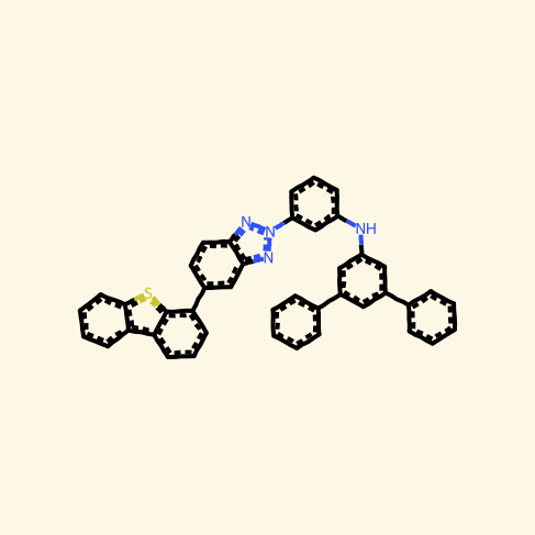 c1ccc(-c2cc(Nc3cccc(-n4nc5ccc(-c6cccc7c6sc6ccccc67)cc5n4)c3)cc(-c3ccccc3)c2)cc1